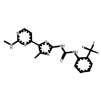 CNc1nccc(-c2sc(NC(=O)Nc3ccccc3C(F)(F)F)nc2C)n1